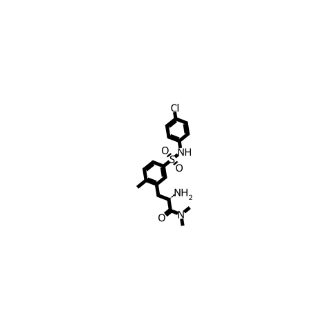 Cc1ccc(S(=O)(=O)Nc2ccc(Cl)cc2)cc1C[C@H](N)C(=O)N(C)C